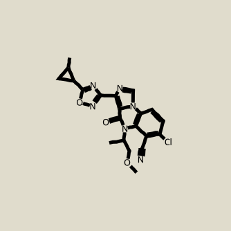 COCC(C)n1c(=O)c2c(-c3noc(C4CC4C)n3)ncn2c2ccc(Cl)c(C#N)c21